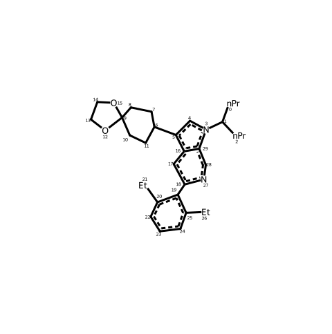 CCCC(CCC)n1cc(C2CCC3(CC2)OCCO3)c2cc(-c3c(CC)cccc3CC)ncc21